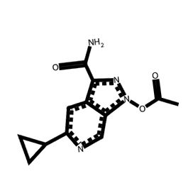 CC(=O)On1nc(C(N)=O)c2cc(C3CC3)ncc21